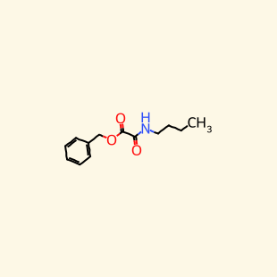 CCCCNC(=O)C(=O)OCc1ccccc1